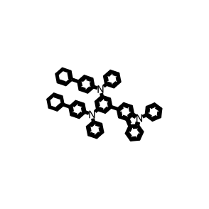 C1=CC(c2ccc(N(c3ccccc3)c3cc(-c4ccc5c(c4)c4ccccc4n5-c4ccccc4)cc(N(c4ccccc4)c4ccc(C5=CCCC=C5)cc4)c3)cc2)=CCC1